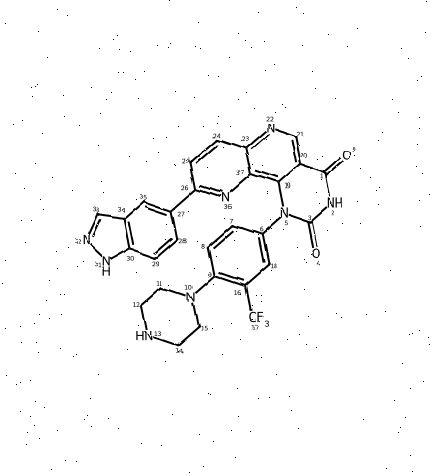 O=c1[nH]c(=O)n(-c2ccc(N3CCNCC3)c(C(F)(F)F)c2)c2c1cnc1ccc(-c3ccc4[nH]ncc4c3)nc12